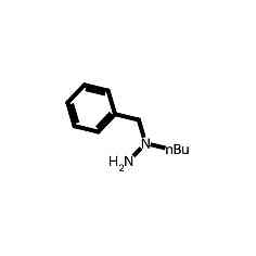 CCCCN(N)Cc1ccccc1